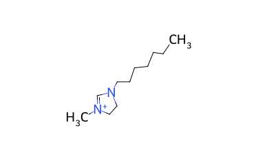 CCCCCCCN1C=[N+](C)CC1